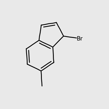 Cc1ccc2c(c1)C(Br)C=C2